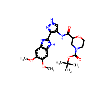 COc1cc2nc(-c3n[nH]cc3NC(=O)C3CN(C(=O)OC(C)(C)C)CCO3)[nH]c2cc1OC